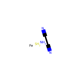 N.N#CC#N.S.[Fe]